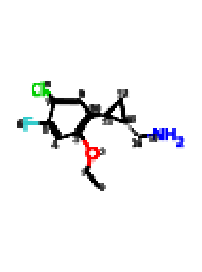 CCOc1cc(F)c(Cl)cc1[C@H]1C[C@@H]1CN